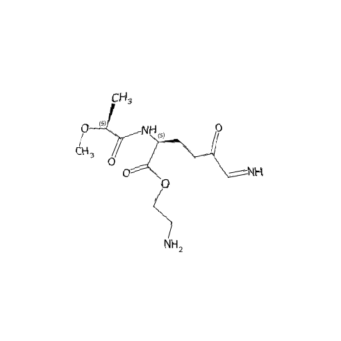 CO[C@@H](C)C(=O)N[C@@H](CCC(=O)C=N)C(=O)OCCN